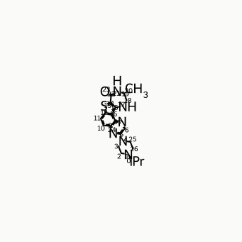 CC(C)N1CCN(c2cnc3c(ccc4sc5c(c43)NC[C@@H](C)NC5=O)n2)CC1